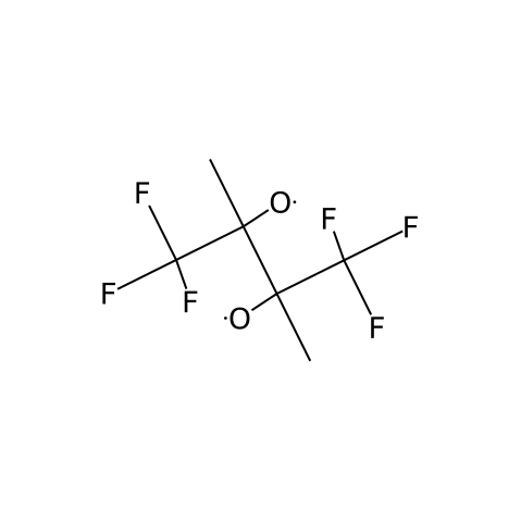 CC([O])(C(F)(F)F)C(C)([O])C(F)(F)F